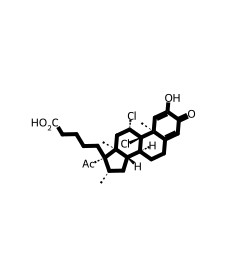 CC(=O)[C@@]1(CCCCC(=O)O)[C@@H](C)C[C@H]2[C@@H]3CCC4=CC(=O)C(O)=C[C@]4(C)[C@@]3(Cl)[C@@H](Cl)C[C@@]21C